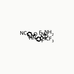 C[C@]1(C(F)(F)F)C[C@](CF)(c2cc(NC(=O)c3ccc(C#N)cn3)ccc2F)N=C(N)O1